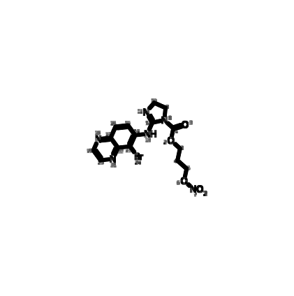 O=C(OCCCO[N+](=O)[O-])N1CCN=C1Nc1ccc2nccnc2c1Br